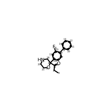 CCC(=O)C1(c2ccc(-c3ccccc3)c(F)c2)CNCCO1